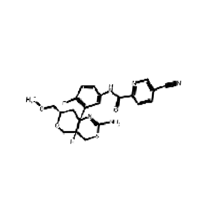 COC[C@H]1C[C@]2(c3cc(NC(=O)c4ccc(C#N)cn4)ccc3F)N=C(N)SC[C@@H]2CO1